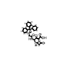 O=C(/C=N\OC(c1ccccc1)(c1ccccc1)c1ccccc1)NC1S[C@@H]2CC(=O)N2C(C(=O)O)=C1Cl